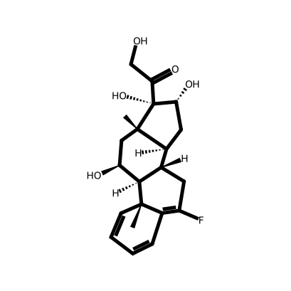 C[C@]12C=CC=CC1=C(F)C[C@@H]1[C@@H]2[C@@H](O)C[C@@]2(C)[C@H]1C[C@@H](O)[C@]2(O)C(=O)CO